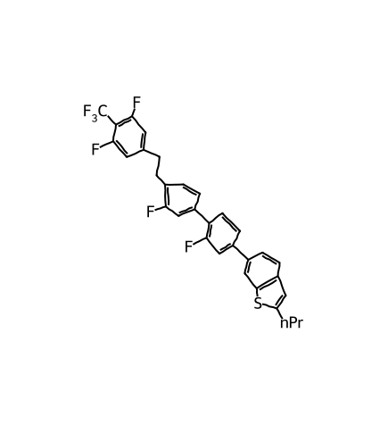 CCCc1cc2ccc(-c3ccc(-c4ccc(CCc5cc(F)c(C(F)(F)F)c(F)c5)c(F)c4)c(F)c3)cc2s1